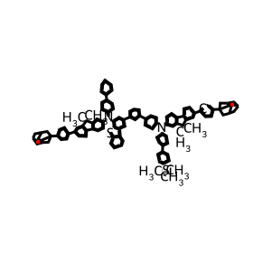 CC1(C)c2cc(-c3ccc(C45CC6CC(CC(C6)C4)C5)cc3)ccc2-c2ccc(N(c3ccc(-c4ccc([Si](C)(C)C)cc4)cc3)c3ccc(-c4cccc(-c5cc(N(c6ccc(-c7ccccc7)cc6)c6ccc7c(c6)C(C)(C)c6cc(-c8ccc(C9%10CC%11CC(CC(C%11)C9)C%10)cc8)ccc6-7)c6sc7ccccc7c6c5)c4)cc3)cc21